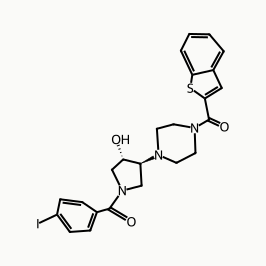 O=C(c1ccc(I)cc1)N1C[C@H](O)[C@@H](N2CCN(C(=O)c3cc4ccccc4s3)CC2)C1